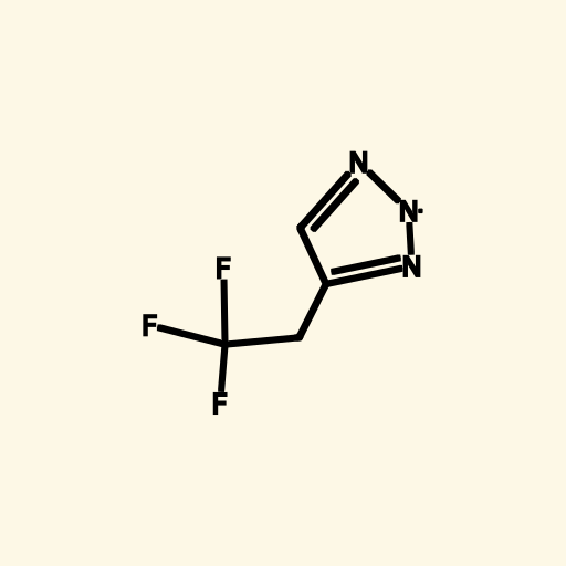 FC(F)(F)CC1=N[N]N=C1